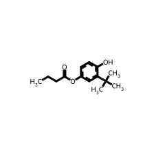 CCCC(=O)Oc1ccc(O)c(C(C)(C)C)c1